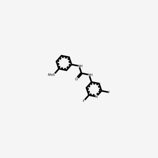 CSc1cccc(NC(=O)Nc2cc(F)nc(F)c2)c1